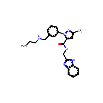 CNCCNCc1cccc(-n2nc(C(F)(F)F)cc2C(=O)NCc2nc3ccccc3[nH]2)c1